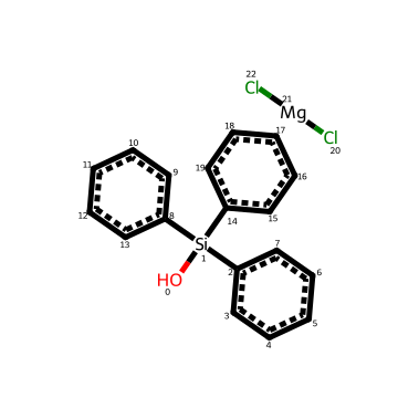 O[Si](c1ccccc1)(c1ccccc1)c1ccccc1.[Cl][Mg][Cl]